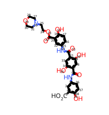 O=C(O)c1cc(NC(=O)c2cc(O)c(C(=O)Nc3ccc(O)c(C(=O)OCCN4CCOCC4)c3)cc2O)ccc1O